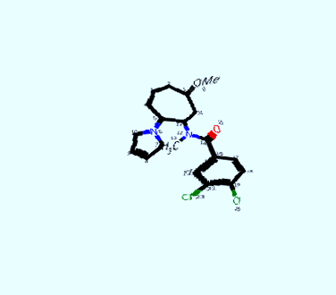 COC1CCCC(N2CC=CC2)C(N(C)C(=O)c2ccc(Cl)c(Cl)c2)C1